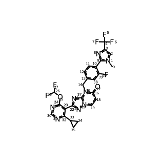 Cn1cc(C(F)(F)F)nc1-c1ccc(Cn2c(=O)ccn3nc(-c4c(OC(F)F)ncnc4C4CC4)nc23)cc1F